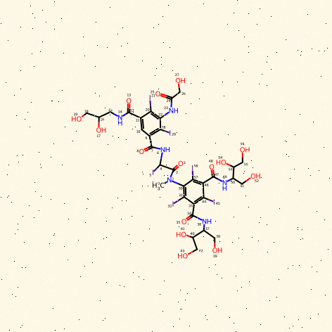 CN(C(=O)C(I)NC(=O)c1cc(C(=O)NCC(O)CO)c(I)c(NC(=O)CO)c1I)c1c(I)c(C(=O)NC(CO)C(O)CO)c(I)c(C(=O)NC(CO)C(O)CO)c1I